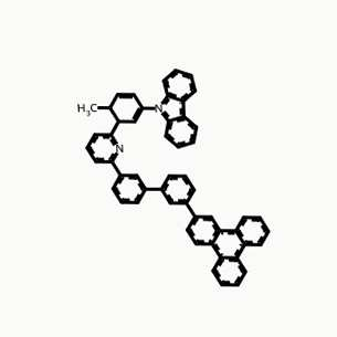 CC1C=CC(n2c3ccccc3c3ccccc32)=CC1c1cccc(-c2cccc(-c3cccc(-c4ccc5c6ccccc6c6ccccc6c5c4)c3)c2)n1